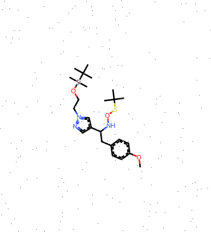 COc1ccc(CC(NOSC(C)(C)C)c2cnn(CCO[Si](C)(C)C(C)(C)C)c2)cc1